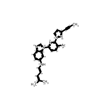 CC#Cc1ccn(-c2nc(-n3cnc4ccc(N/C=C/C=C(C)C)cc43)ccc2C(C)=O)n1